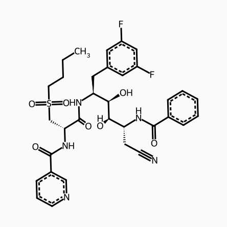 CCCCS(=O)(=O)C[C@@H](NC(=O)c1cccnc1)C(=O)N[C@@H](Cc1cc(F)cc(F)c1)[C@@H](O)[C@H](O)[C@@H](CC#N)NC(=O)c1ccccc1